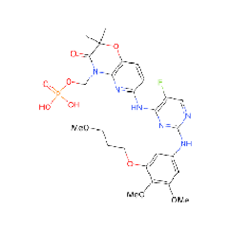 COCCCOc1cc(Nc2ncc(F)c(Nc3ccc4c(n3)N(COP(=O)(O)O)C(=O)C(C)(C)O4)n2)cc(OC)c1OC